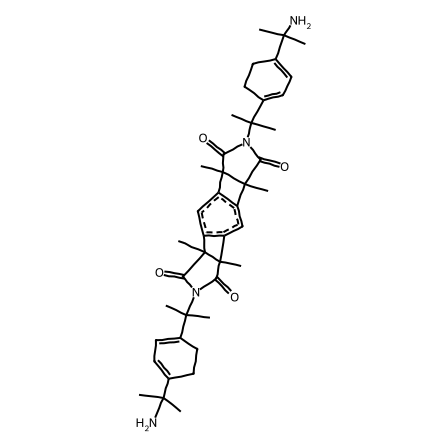 CC(C)(N)C1=CC=C(C(C)(C)N2C(=O)C3(C)c4cc5c(cc4C3(C)C2=O)C2(C)C(=O)N(C(C)(C)C3=CC=C(C(C)(C)N)CC3)C(=O)C52C)CC1